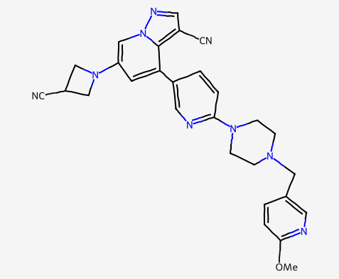 COc1ccc(CN2CCN(c3ccc(-c4cc(N5CC(C#N)C5)cn5ncc(C#N)c45)cn3)CC2)cn1